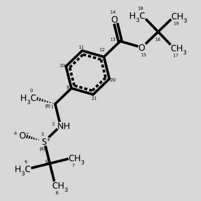 C[C@@H](N[S@@+]([O-])C(C)(C)C)c1ccc(C(=O)OC(C)(C)C)cc1